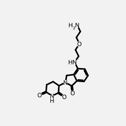 NCCOCCNc1cccc2c1CN(C1CCC(=O)NC1=O)C2=O